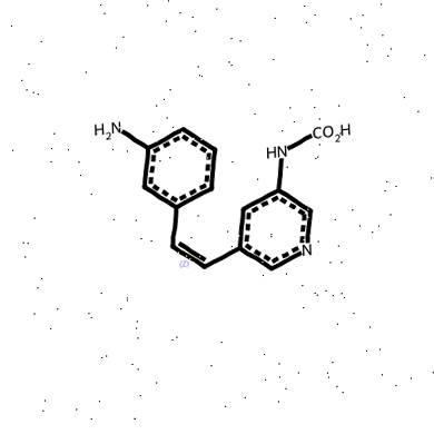 Nc1cccc(/C=C\c2cncc(NC(=O)O)c2)c1